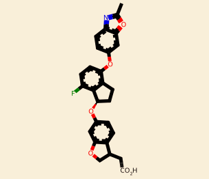 Cc1nc2ccc(Oc3ccc(F)c4c3CC[C@H]4Oc3ccc4c(c3)OCC4CC(=O)O)cc2o1